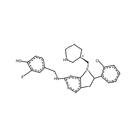 Oc1ccc(CNc2ncc3c(n2)N(C[C@@H]2CCCNC2)C(c2ccccc2Cl)C3)cc1F